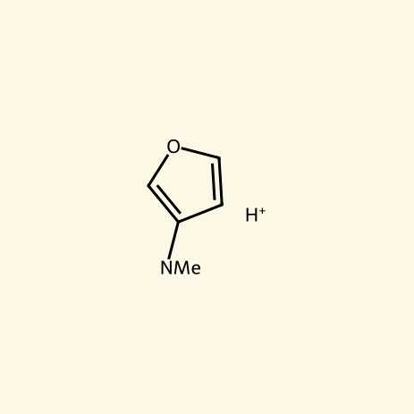 CNc1ccoc1.[H+]